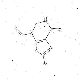 C=CN1CNC(=O)c2cc(Br)sc21